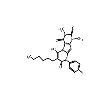 CCCCCCc1c(O)n2c3c(=O)n(C)c(=O)n(C)c3nc2n(-c2ccc(F)cc2)c1=O